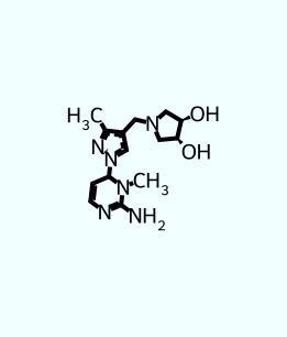 Cc1nn(C2C=CN=C(N)N2C)cc1CN1C[C@@H](O)[C@@H](O)C1